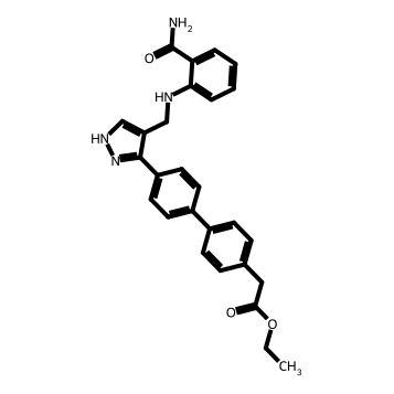 CCOC(=O)Cc1ccc(-c2ccc(-c3n[nH]cc3CNc3ccccc3C(N)=O)cc2)cc1